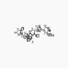 CC(C)(C)c1cc(-c2nc(-c3ccc(N(CCN4CCCC4=O)S(=O)(=O)C(F)(F)F)cc3Cl)cs2)ccn1